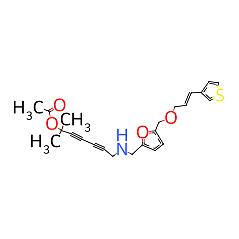 CC(=O)OC(C)(C)C#CC#CCNCc1ccc(COCC=Cc2ccsc2)o1